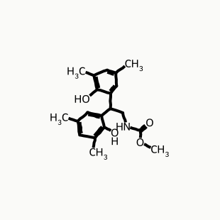 COC(=O)NCC(c1cc(C)cc(C)c1O)c1cc(C)cc(C)c1O